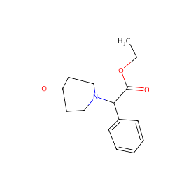 CCOC(=O)C(c1ccccc1)N1CCC(=O)CC1